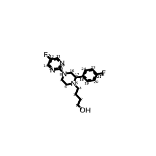 OCCCCN1CCN(c2ncc(F)cn2)CC1c1ccc(F)cc1